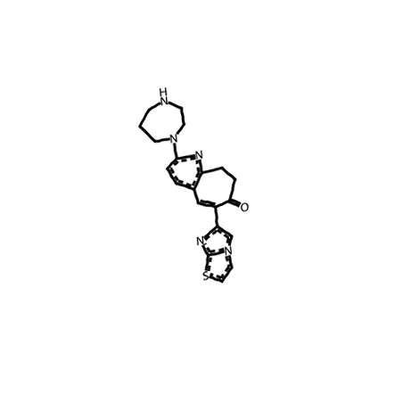 O=C1CCc2nc(N3CCCNCC3)ccc2C=C1c1cn2ccsc2n1